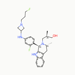 C[C@@H](CO)CN1[C@H](c2ccc(NC3CN(CCCF)C3)cc2F)c2[nH]c3ccccc3c2C[C@H]1C